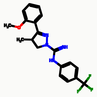 COc1ccccc1C1=NN(C(=N)Nc2ccc(C(F)(F)F)cc2)CC1C